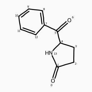 O=C1CCC(C(=O)c2ccccc2)N1